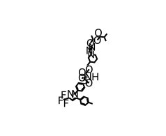 Cc1ccc(-c2cc(C(F)(F)F)nn2-c2ccc(S(=O)(=O)NC(=O)OCC3CCCN(N=NOC(C)OC(=O)C(C)C)C3)cc2)cc1